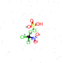 O=S(=O)(O)Cl.O=[N+]([O-])C(Cl)(Cl)Cl